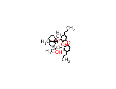 C=CCc1ccc(Oc2cc(CC=C)cc(O[C@]3(C)CCC[C@]4(C)CC[C@@H](C(C)(C)O)C[C@H]43)c2O)cc1